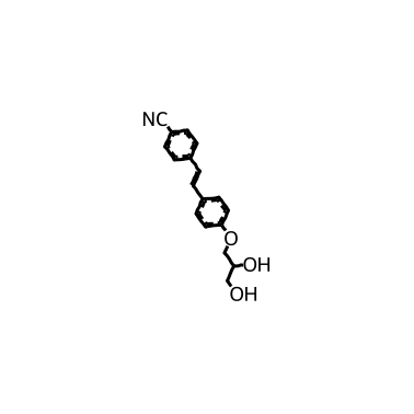 N#Cc1ccc(C=Cc2ccc(OCC(O)CO)cc2)cc1